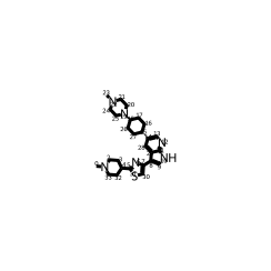 CN1CCC(c2nc(-c3c[nH]c4ncc([C@H]5CC[C@H](N6CCN(C)CC6)CC5)cc34)cs2)CC1